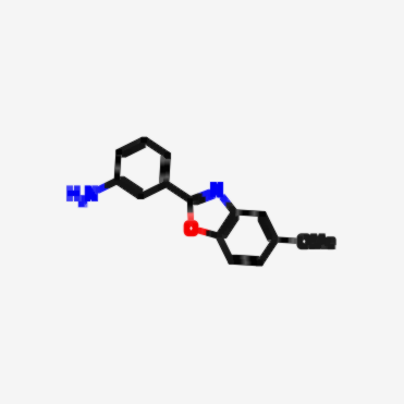 COc1ccc2oc(-c3cccc(N)c3)nc2c1